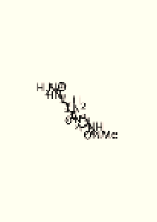 CNC(=O)NC1CCN(C(=O)[C@H](N)CCCCNC(N)=O)CC1